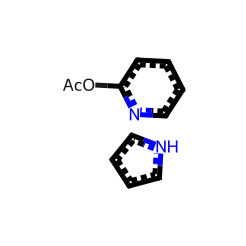 CC(=O)Oc1ccccn1.c1cc[nH]c1